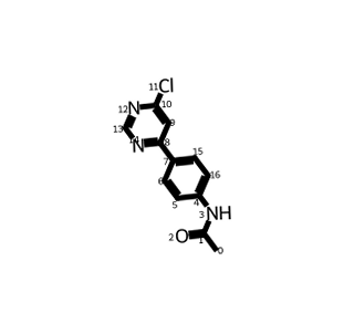 CC(=O)Nc1ccc(-c2cc(Cl)ncn2)cc1